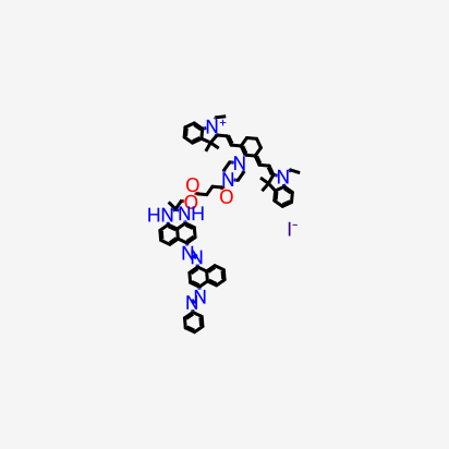 CCN1/C(=C/C=C2\CCCC(/C=C/C3=[N+](CC)c4ccccc4C3(C)C)=C2N2CCN(C(=O)CCC(=O)OCC3(C)Nc4cccc5c(/N=N/c6ccc(/N=N/c7ccccc7)c7ccccc67)ccc(c45)N3)CC2)C(C)(C)c2ccccc21.[I-]